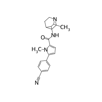 CC1C(NC(=O)c2ccc(-c3ccc(C#N)cc3)n2C)C2CCN1CC2